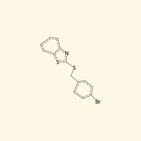 Brc1ccc(CSc2nc3ccccc3s2)cc1